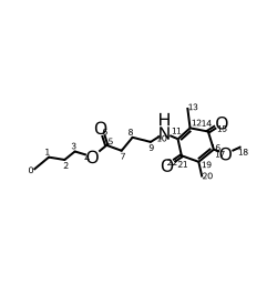 CCCCOC(=O)CCCNC1=C(C)C(=O)C(OC)=C(C)C1=O